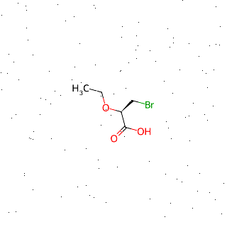 CCO[C@@H](CBr)C(=O)O